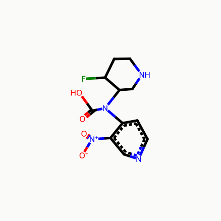 O=C(O)N(c1ccncc1[N+](=O)[O-])C1CNCCC1F